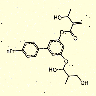 C=C(C(=O)Oc1cc(OC(O)C(C)CO)cc(-c2ccc(CCC)cc2)c1)C(C)O